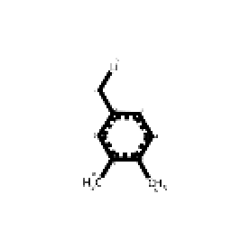 [Li][CH2]c1ccc(C)c(C)c1